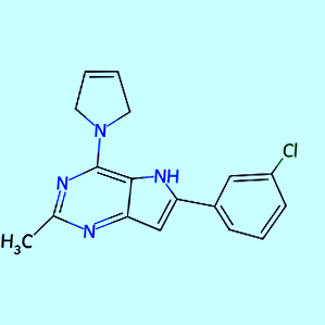 Cc1nc(N2CC=CC2)c2[nH]c(-c3cccc(Cl)c3)cc2n1